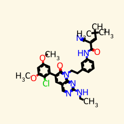 CCNc1ncc2cc(-c3cc(OC)cc(OC)c3Cl)c(=O)n(CCc3cccc(NC(=O)C(C#N)=CC(C)(C)C)c3)c2n1